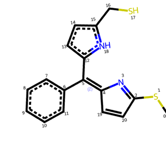 CSC1=N/C(=C(/c2ccccc2)c2ccc(CS)[nH]2)C=C1